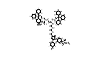 CC(C)(C)OC(=O)N(CCSC(c1ccccc1)(c1ccccc1)c1ccccc1)CCN(CCCCCCc1cc(-c2ccc(F)cc2)n(-c2ccc(S(N)(=O)=O)cc2)n1)CCSC(c1ccccc1)(c1ccccc1)c1ccccc1